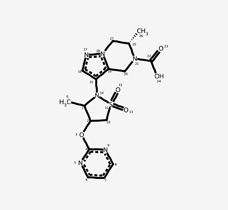 CC1C(Oc2ncccn2)CS(=O)(=O)N1c1cnn2c1CN(C(=O)O)[C@@H](C)C2